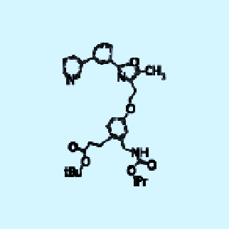 Cc1oc(-c2cccc(-c3cccnc3)c2)nc1CCOc1ccc(CCC(=O)OC(C)(C)C)c(CNC(=O)OC(C)C)c1